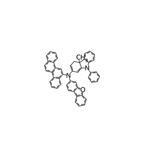 CC12CC=C(N(c3ccc4c(c3)oc3ccccc34)c3cc4c5ccccc5ccc4c4ccccc34)C=C1N(c1ccccc1)c1ccccc12